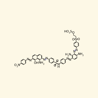 Nc1ccc(N=Nc2ccc(NS(=O)(=O)c3ccc(/N=N/c4ccc5ccc(N=Nc6ccc([N+](=O)[O-])cc6)c(O)c5c4N)cc3)cc2)c(N)c1/N=N/c1ccc(S(=O)(=O)CCOS(=O)(=O)O)cc1